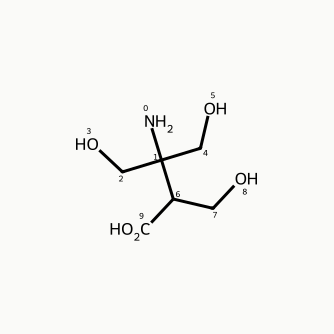 NC(CO)(CO)C(CO)C(=O)O